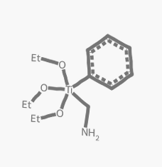 CC[O][Ti]([CH2]N)([O]CC)([O]CC)[c]1ccccc1